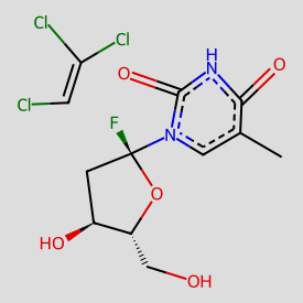 Cc1cn([C@@]2(F)C[C@H](O)[C@@H](CO)O2)c(=O)[nH]c1=O.ClC=C(Cl)Cl